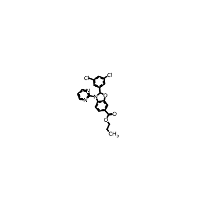 CCCOC(=O)c1ccc2c(c1)OC(c1cc(Cl)cc(Cl)c1)N2c1ncccn1